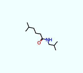 CC(C)CCCC(=O)NCC(C)C